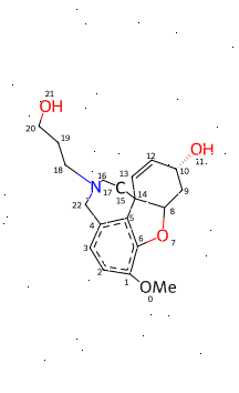 COc1ccc2c3c1OC1C[C@@H](O)C=CC31CCN(CCCO)C2